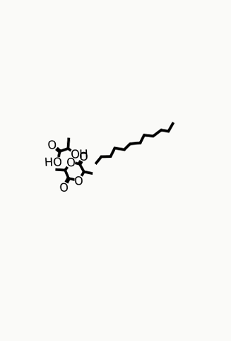 CC(O)C(=O)O.CC1OC(=O)C(C)OC1=O.CCCCCCCCCCCC